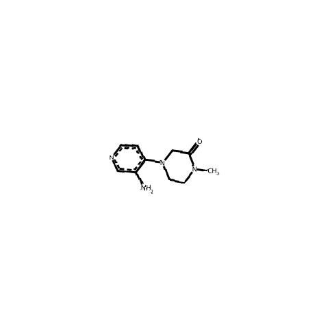 CN1CCN(c2ccncc2N)CC1=O